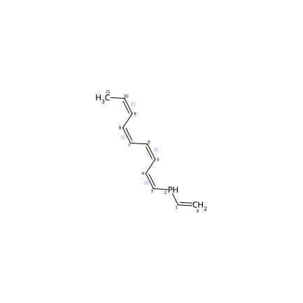 C=CP\C=C/C=C\C=C/C=C\C